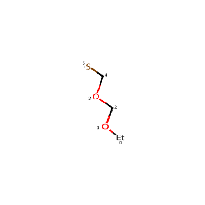 CCOCOC[S]